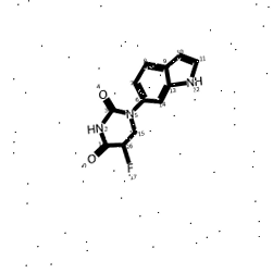 O=C1NC(=O)N(c2ccc3cc[nH]c3c2)CC1F